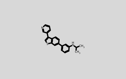 CC(C)Nc1cccc(-c2ccc3c(-c4cccnc4)csc3c2)c1